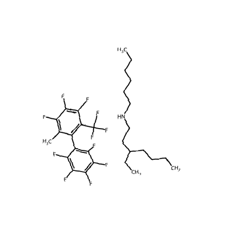 CCCCCCNCCC(CC)CCCC.Cc1c(F)c(F)c(F)c(C(F)(F)F)c1-c1c(F)c(F)c(F)c(F)c1F